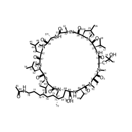 C=C1C(=O)N(C)[C@@H](CC(C)(C)O)C(=O)N[C@H](C(C)C)C(=O)N(C)[C@H](CC(C)C)C(=O)N[C@H](C)C(=O)N[C@@H](C)C(=O)N(C)[C@H](CC(C)C)C(=O)N(C)[C@H](CC(C)C)C(=O)N(C)[C@H](C(C)C)C(=O)N(C)[C@@H]([C@H](O)[C@H](C)CCCCCCNC(C)=O)C(=O)N[C@H](CC)C(=O)N1C